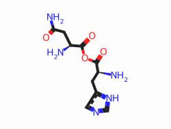 NC(=O)C[C@H](N)C(=O)OC(=O)[C@@H](N)Cc1cnc[nH]1